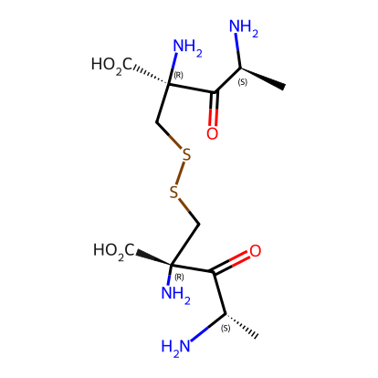 C[C@H](N)C(=O)[C@](N)(CSSC[C@](N)(C(=O)O)C(=O)[C@H](C)N)C(=O)O